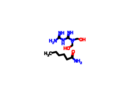 CCCCCC(N)=O.N=C(N)NC(=N)N(CO)CO